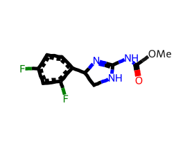 COC(=O)NC1=NC(c2ccc(F)cc2F)CN1